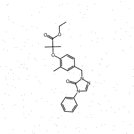 CCOC(=O)C(C)(C)Oc1ccc(Cn2ncn(-c3ccccc3)c2=O)cc1C